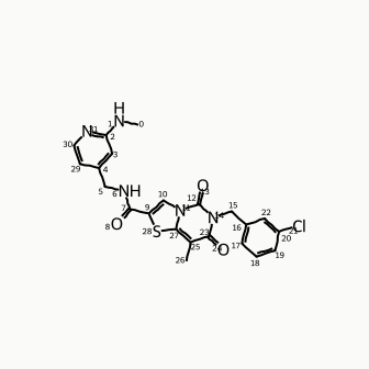 CNc1cc(CNC(=O)c2cn3c(=O)n(Cc4cccc(Cl)c4)c(=O)c(C)c3s2)ccn1